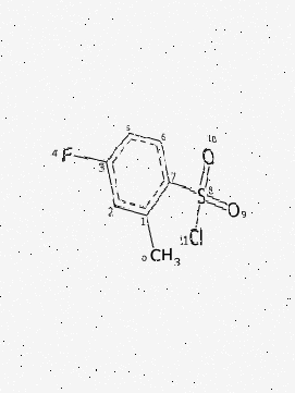 Cc1cc(F)ccc1S(=O)(=O)Cl